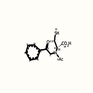 CC(=O)N(CC(=O)c1ccccc1)[C@H](CS)C(=O)O